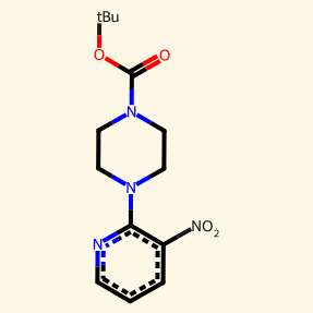 CC(C)(C)OC(=O)N1CCN(c2ncccc2[N+](=O)[O-])CC1